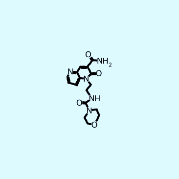 NC(=O)c1cc2ncccc2n(CCNC(=O)N2CCOCC2)c1=O